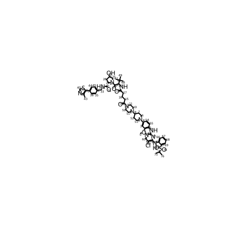 COc1cc(N2CCC(N3CCN(C(=O)CCCC(=O)NC(C(=O)N4C[C@H](O)C[C@H]4C(=O)NCc4ccc(-c5scnc5C)cc4)C(C)(C)C)CC3)CC2)ccc1Nc1ncc(Cl)c(Nc2ccccc2S(=O)(=O)C(C)C)n1